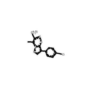 CCOC(=O)c1nnc2c(-c3ccc(Cl)cc3)cnn2c1C